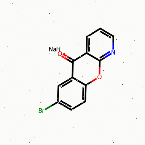 O=c1c2cc(Br)ccc2oc2ncccc12.[NaH]